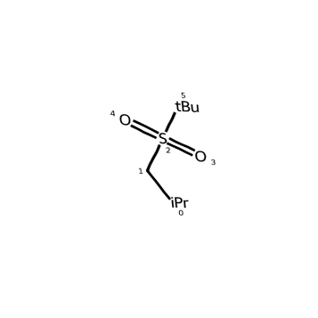 CC(C)CS(=O)(=O)C(C)(C)C